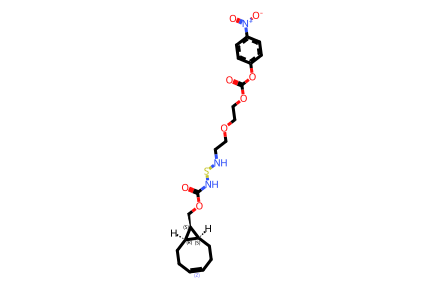 O=C(NSNCCOCCOC(=O)Oc1ccc([N+](=O)[O-])cc1)OC[C@@H]1[C@@H]2CC/C=C\CC[C@@H]21